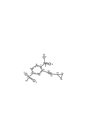 CS(=O)(=O)c1ccc([N+](=O)[O-])c(C#CC2CC2)c1